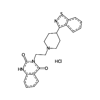 Cl.O=c1[nH]c2ccccc2c(=O)n1CCN1CCC(c2nsc3ccccc23)CC1